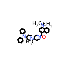 CN(C)c1ccc(C(=O)N2CCC(C)(N3CCC(N(c4ccccc4)c4ccccc4)CC3)CC2)c2ccccc12